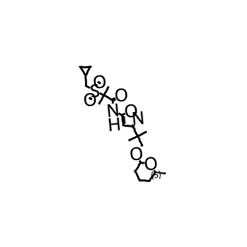 C[C@H]1CCCC(OCC(C)(C)c2cc(NC(=O)C(C)(C)S(=O)(=O)CC3CC3)on2)O1